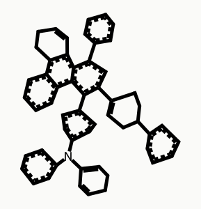 C1=CC(N(c2ccccc2)c2ccc(-c3c(C4=CCC(c5ccccc5)CC4)cc(-c4ccccc4)c4c5c(c6ccccc6c34)CCC=C5)cc2)=CCC1